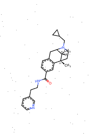 C[C@H]1C2Cc3ccc(C(=O)NCCc4cccnc4)cc3[C@@]1(C)CCN2CC1CC1